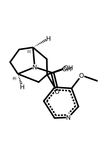 COc1cnccc1C1(O)C[C@H]2CC[C@@H](C1)N2C(=O)O